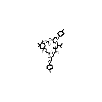 C=C(C)C(=O)OCC(COc1ccc(C)cc1)OC(=O)NCC1(C)CC(NC(=O)OC(COC(=O)C(=C)C)COc2ccc(C)cc2)CC(C)(C)C1